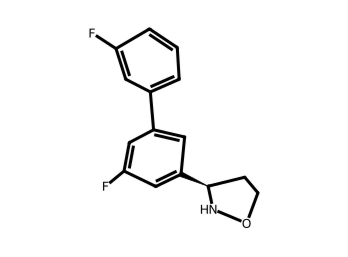 Fc1cccc(-c2cc(F)cc([C@H]3CCON3)c2)c1